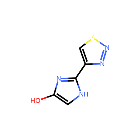 Oc1c[nH]c(-c2csnn2)n1